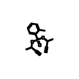 C#CC(C)OP(=O)(OC(C)C#C)c1ccccc1C